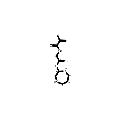 C=C(C)C(=O)OCC(=O)OC1CSCCCO1